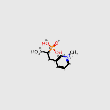 C[n+]1cccc(CC(P(=O)(O)O)S(=O)(=O)O)c1